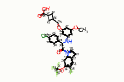 COc1cc(N[C@@H](C(=O)n2ccc3cc(F)c(OC(F)(F)F)cc32)c2ccc(Cl)cc2)cc(OCC2CC(C(=O)O)C2)c1